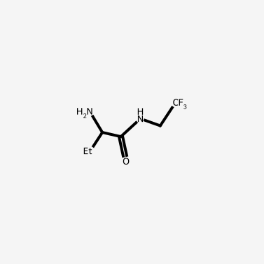 CCC(N)C(=O)NCC(F)(F)F